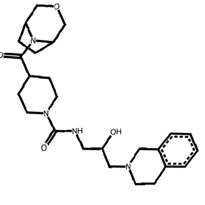 O=C(NCC(O)CN1CCc2ccccc2C1)N1CCC(C(=O)N2C3CCC2COC3)CC1